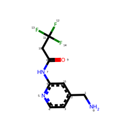 NCc1ccnc(NC(=O)CC(F)(F)F)c1